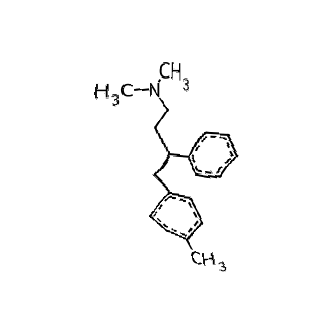 Cc1ccc(CC(CCN(C)C)c2ccccc2)cc1